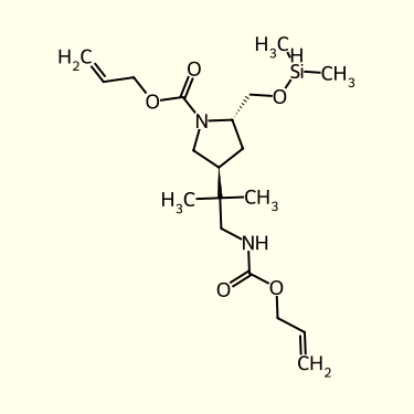 C=CCOC(=O)NCC(C)(C)[C@@H]1C[C@@H](CO[SiH](C)C)N(C(=O)OCC=C)C1